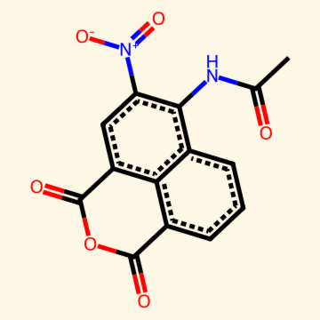 CC(=O)Nc1c([N+](=O)[O-])cc2c3c(cccc13)C(=O)OC2=O